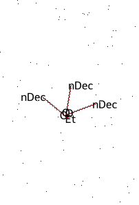 CCCCCCCCCCCCCCCCCCCCCCCCCCCCOc1cc(CC)cc(OCCCCCCCCCCCCCCCCCCCCCCCCCCCC)c1OCCCCCCCCCCCCCCCCCCCCCCCCCCCC